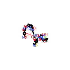 Cc1ncsc1-c1ccc(CNC(=O)[C@@H]2C[C@@H](O)CN2C(=O)C(NC(=O)C2(F)CC2)C(C)(C)C)c(OCC(=O)NCCCCNC(=O)c2ccc3c(c2)[C@H](NC(=O)c2cc(-c4ccc(C(=O)N(C)C)c(O)c4)on2)CC3)c1